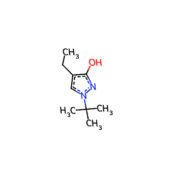 CCc1cn(C(C)(C)C)nc1O